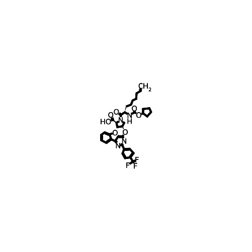 C=CCCCCC[C@H](NC(=O)OC1CCCC1)C(=O)N1C[C@H](Oc2nc(-c3ccc(C(F)(F)F)cc3)nc3c2oc2ccccc23)C[C@H]1C(=O)O